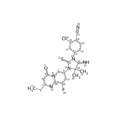 CCc1cc(=O)n2cc(N3C(=S)N(c4ccc(C#N)c(Cl)c4)C(=N)C3(C)C)cc(F)c2n1